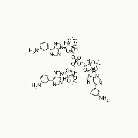 CC1(C)O[C@@H]2[C@H](O1)[C@@H](COP(=O)(OC[C@H]1O[C@@H](n3cnc4c(-c5cccc(N)c5)ncnc43)[C@@H]3OC(C)(C)O[C@@H]31)OC[C@H]1O[C@@H](n3cnc4c(-c5cccc(N)c5)ncnc43)[C@@H]3OC(C)(C)O[C@@H]31)O[C@H]2n1cnc2c(-c3cccc(N)c3)ncnc21